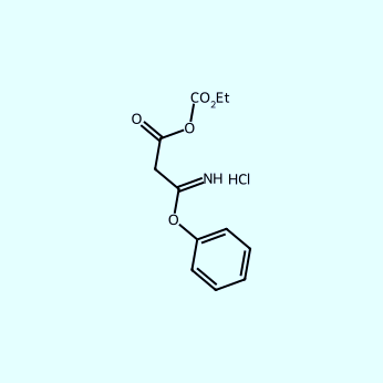 CCOC(=O)OC(=O)CC(=N)Oc1ccccc1.Cl